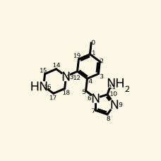 Cc1ccc(Cn2ccnc2N)c(N2CCNCC2)c1